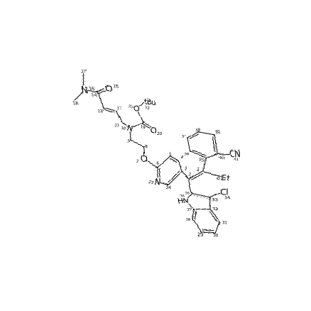 CC/C(=C(/c1ccc(OCCN(C/C=C/C(=O)N(C)C)C(=O)OC(C)(C)C)nc1)c1[nH]c2ccccc2c1Cl)c1ccccc1C#N